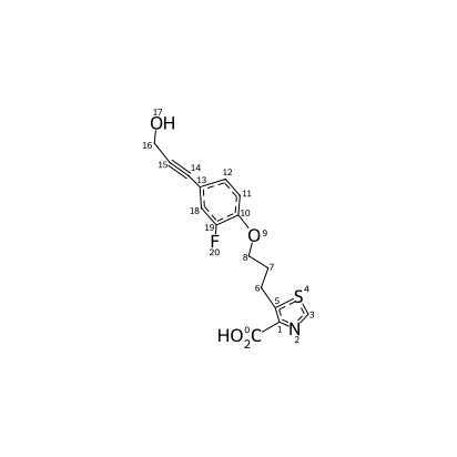 O=C(O)c1ncsc1CCCOc1ccc(C#CCO)cc1F